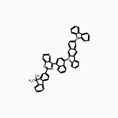 CC1(C)c2ccccc2-c2ccc(-c3nc(-c4ccc(-n5c6ccccc6c6cc7cc(-n8c9ccccc9c9ccccc98)ccc7cc65)c5ccccc45)c4ccccc4n3)cc21